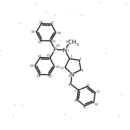 CN(C1CCN(Cc2ccccc2)C1)P(c1ccccc1)c1ccccc1